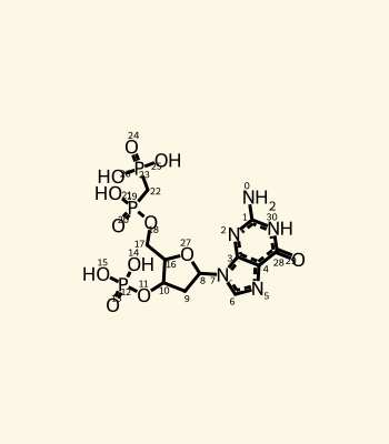 Nc1nc2c(ncn2C2CC(OP(=O)(O)O)C(COP(=O)(O)CP(=O)(O)O)O2)c(=O)[nH]1